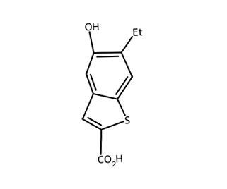 CCc1cc2sc(C(=O)O)cc2cc1O